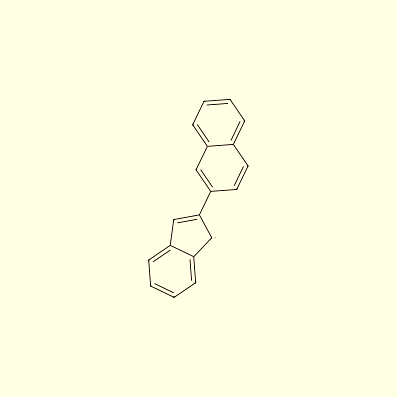 [CH]1C(c2ccc3ccccc3c2)=Cc2ccccc21